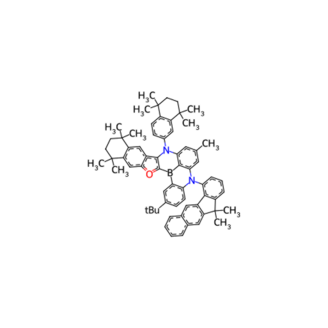 Cc1cc2c3c(c1)N(c1ccc4c(c1)C(C)(C)CCC4(C)C)c1c(oc4cc5c(cc14)C(C)(C)CCC5(C)C)B3c1cc(C(C)(C)C)ccc1N2c1cccc2c1-c1cc3ccccc3cc1C2(C)C